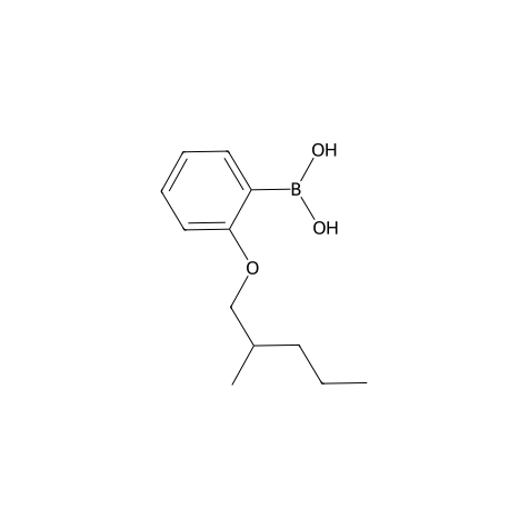 CCCC(C)COc1ccccc1B(O)O